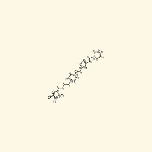 O=C1NC(=O)C(CCCCc2ccc(OCc3csc(/C=C/c4ccccc4)n3)cc2)O1